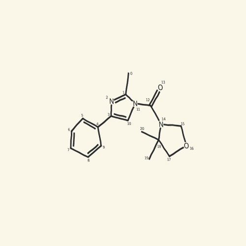 Cc1nc(-c2ccccc2)cn1C(=O)N1COCC1(C)C